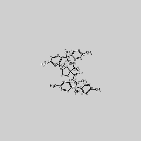 Cc1ccc(C(O)(c2ccc(C)cc2)[C@@H](C)NC(=O)C2(C(=O)N[C@H](C)C(O)(c3ccc(C)cc3)c3ccc(C)cc3)CCCC2)cc1